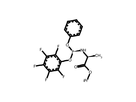 CC(C)OC(=O)[C@H](C)N[P@](Oc1ccccc1)Oc1c(F)c(F)c(F)c(F)c1F